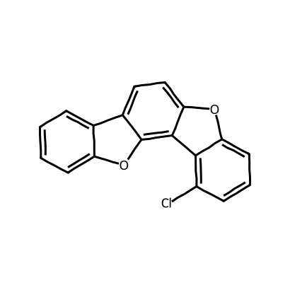 Clc1cccc2oc3ccc4c5ccccc5oc4c3c12